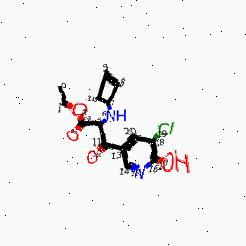 CCOC(=O)C(NC1CCC1)C(=O)c1cnc(O)c(Cl)c1